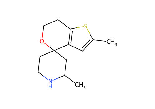 Cc1cc2c(s1)CCOC21CCNC(C)C1